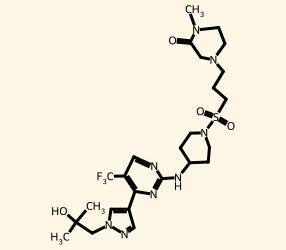 CN1CCN(CCCS(=O)(=O)N2CCC(Nc3ncc(C(F)(F)F)c(-c4cnn(CC(C)(C)O)c4)n3)CC2)CC1=O